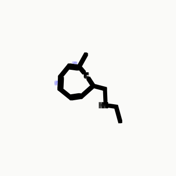 CCNCC1C=C/C=C\C=C(\C)C1